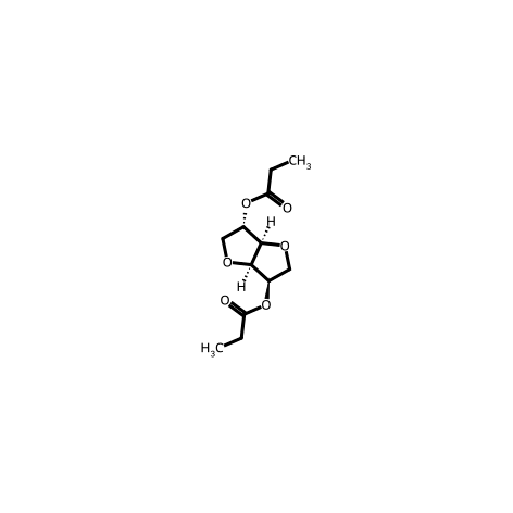 CCC(=O)O[C@H]1CO[C@H]2[C@@H]1OC[C@H]2OC(=O)CC